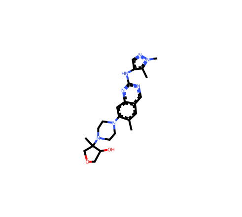 Cc1cc2cnc(Nc3cnn(C)c3C)nc2cc1N1CCN(C2(C)COCC2O)CC1